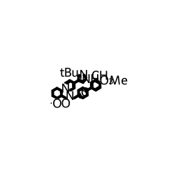 COc1ccc(C23CCC(CN(C(=O)C4CCCCC4[O])c4cc(-c5c[nH]nc5C(C)(C)C)ccn4)(CC2)CC3)cc1C